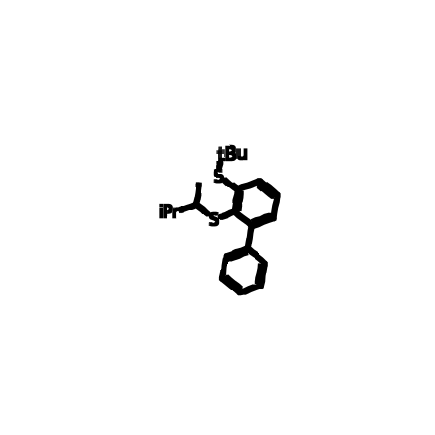 CC(C)C(C)Sc1c(SC(C)(C)C)cccc1-c1ccccc1